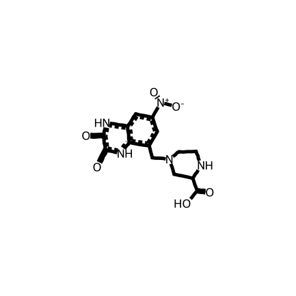 O=C(O)C1CN(Cc2cc([N+](=O)[O-])cc3[nH]c(=O)c(=O)[nH]c23)CCN1